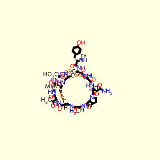 CCN[C@@H](Cc1ccc(O)cc1)C(=O)N[C@H]1CSSC[C@@H](C(=O)O)NC(=O)CNC(=O)[C@H]([C@@H](C)O)NC(=O)[C@@H]2CSSC[C@@H](C(=O)NC)NC(=O)[C@@H](N)CSSC[C@H](NC1=O)C(=O)N[C@@H](CC(N)=O)C(=O)N1CCC[C@H]1C(=O)N[C@@H](C)C(=O)N2